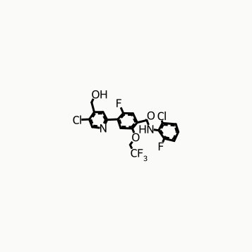 O=C(Nc1c(F)cccc1Cl)c1cc(F)c(-c2cc(CO)c(Cl)cn2)cc1OCC(F)(F)F